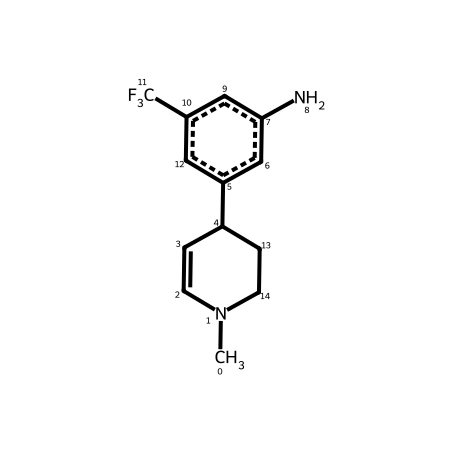 CN1C=CC(c2cc(N)cc(C(F)(F)F)c2)CC1